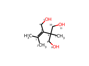 CC(C)=C(CO)C(C)(CO)CO